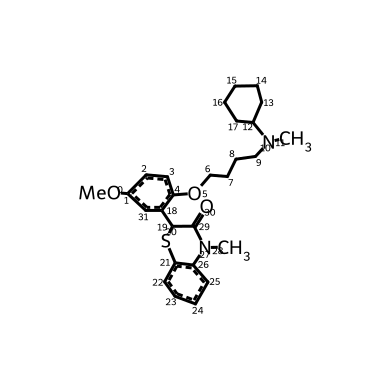 COc1ccc(OCCCCN(C)C2CCCCC2)c(C2Sc3ccccc3N(C)C2=O)c1